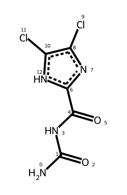 NC(=O)NC(=O)c1nc(Cl)c(Cl)[nH]1